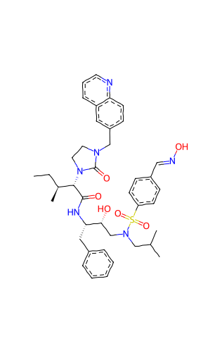 CC[C@H](C)[C@@H](C(=O)N[C@@H](Cc1ccccc1)[C@H](O)CN(CC(C)C)S(=O)(=O)c1ccc(C=NO)cc1)N1CCN(Cc2ccc3ncccc3c2)C1=O